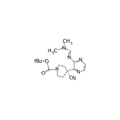 CN(C)/C=N/c1nccnc1C1(C#N)CCN(C(=O)OC(C)(C)C)CC1